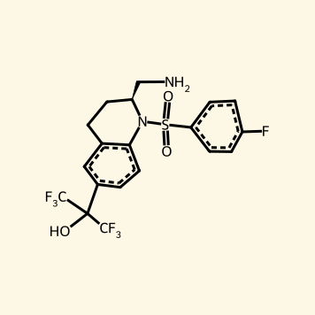 NC[C@@H]1CCc2cc(C(O)(C(F)(F)F)C(F)(F)F)ccc2N1S(=O)(=O)c1ccc(F)cc1